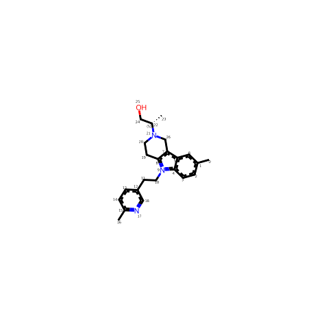 Cc1ccc2c(c1)c1c(n2CCc2ccc(C)nc2)CCN([C@@H](C)CO)C1